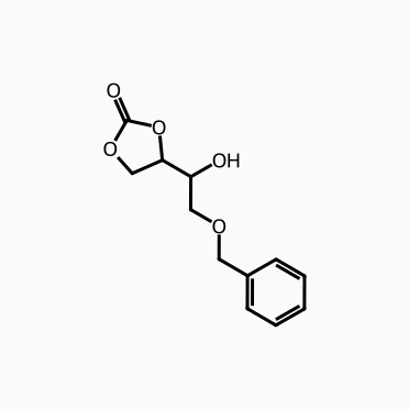 O=C1OCC(C(O)COCc2ccccc2)O1